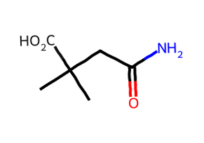 CC(C)(CC(N)=O)C(=O)O